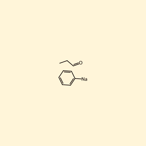 CCC=O.[Na][c]1ccccc1